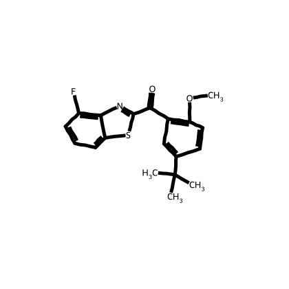 COc1ccc(C(C)(C)C)cc1C(=O)c1nc2c(F)cccc2s1